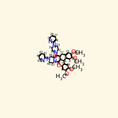 COc1ccc(C2c3cc(OC)c(OC)cc3CC(C(=O)N3CCN(c4ccccn4)CC3)C2C(=O)N2CCN(c3ccccn3)CC2)cc1OC